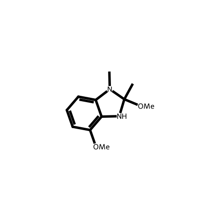 COc1cccc2c1NC(C)(OC)N2C